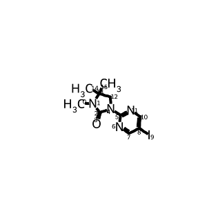 CN1C(=O)N(c2ncc(I)cn2)CC1(C)C